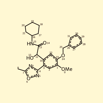 COc1cc(-c2noc(C)n2)c(C(O)C(=O)NC2CCCCC2)cc1OCc1ccccc1